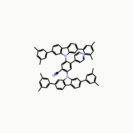 Cc1cc(C)cc(-c2ccc3c4ccc(-c5cc(C)cc(C)c5)cc4n(-c4cc(-c5ccncc5)c(-n5c6cc(-c7cc(C)cc(C)c7)ccc6c6ccc(-c7cc(C)cc(C)c7)cc65)cc4C#N)c3c2)c1